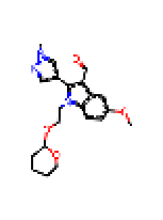 COc1ccc2c(c1)c(C=O)c(-c1cnn(C)c1)n2CCOC1CCCCO1